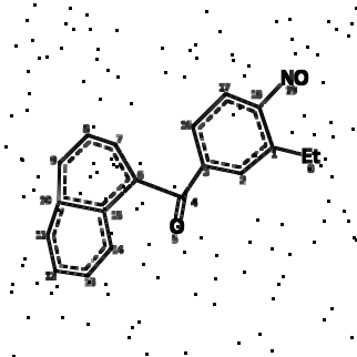 CCc1cc(C(=O)c2cccc3ccccc23)ccc1N=O